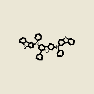 c1ccc(-c2cc(N(c3ccccc3)c3ccc4sc5ccccc5c4c3)cc3c2oc2cc(N(c4ccccc4)c4ccc5sc6ccccc6c5c4)ccc23)cc1